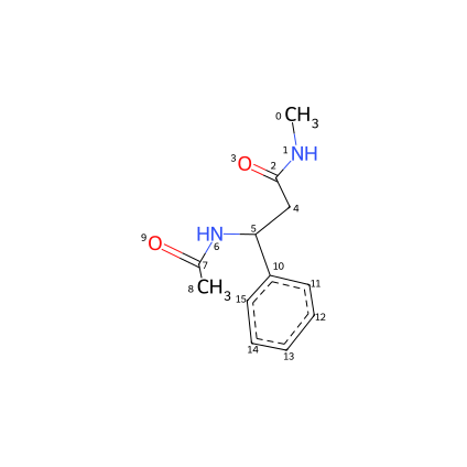 CNC(=O)CC(NC(C)=O)c1ccccc1